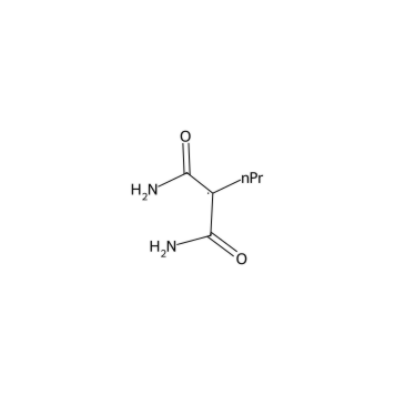 CCC[C](C(N)=O)C(N)=O